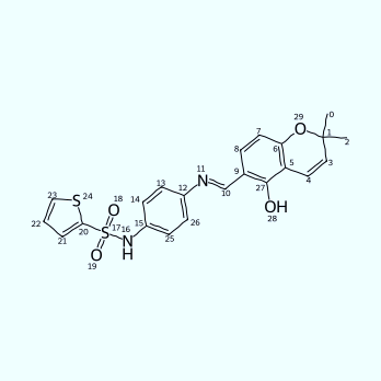 CC1(C)C=Cc2c(ccc(C=Nc3ccc(NS(=O)(=O)c4cccs4)cc3)c2O)O1